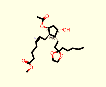 CCCCCC1(CC[C@@H]2[C@@H](C/C=C\CCCC(=O)OC)[C@@H](OC(C)=O)C[C@@H]2O)OCCO1